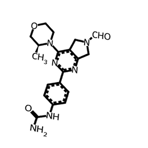 C[C@H]1COCCN1c1nc(-c2ccc(NC(N)=O)cc2)nc2c1CN(C=O)C2